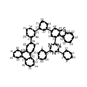 c1ccc(-c2nc(-c3ccccc3)nc(-c3cc(-c4cccc(-c5cccc(-c6ccc7c8ccccc8c8ccccc8c7c6)c5)c4)cc4sc5ccccc5c34)n2)cc1